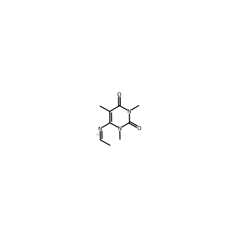 C/C=N\c1c(C)c(=O)n(C)c(=O)n1C